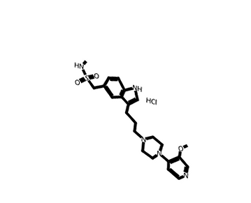 CNS(=O)(=O)Cc1ccc2[nH]cc(CCCN3CCN(c4ccncc4OC)CC3)c2c1.Cl